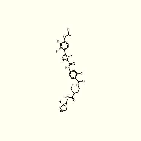 Cn1c(-c2ccc(OC(F)F)c(F)c2F)cnc1C(=O)Nc1ccc(C(=O)N2CCC(C(=O)N[C@@H]3C4CNC[C@H]43)CC2)c(Cl)c1